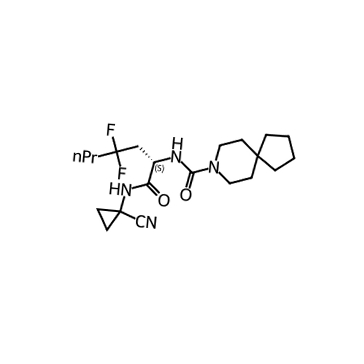 CCCC(F)(F)C[C@H](NC(=O)N1CCC2(CCCC2)CC1)C(=O)NC1(C#N)CC1